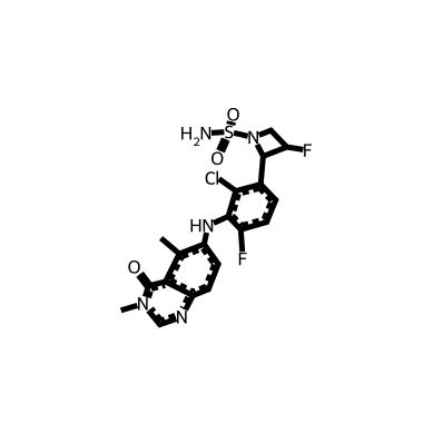 Cc1c(Nc2c(F)ccc(C3C(F)CN3S(N)(=O)=O)c2Cl)ccc2ncn(C)c(=O)c12